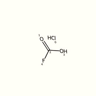 Cl.O=C(O)F